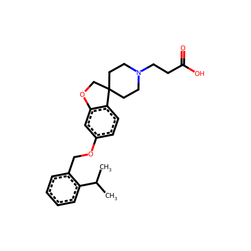 CC(C)c1ccccc1COc1ccc2c(c1)OCC21CCN(CCC(=O)O)CC1